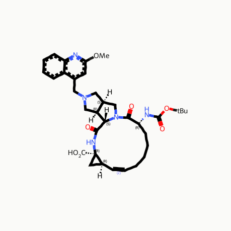 COc1cc(CN2C[C@H]3CN4C(=O)[C@H](NC(=O)OC(C)(C)C)CCCC/C=C\[C@H]5C[C@@]5(C(=O)O)NC(=O)[C@@H]4[C@H]3C2)c2ccccc2n1